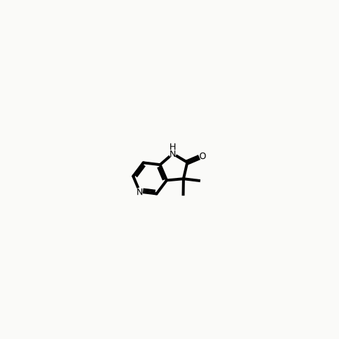 CC1(C)C(=O)Nc2ccncc21